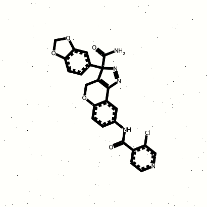 NC(=O)C1(c2ccc3c(c2)OCO3)N=NC2=C1COc1ccc(NC(=O)c3ccncc3Cl)cc12